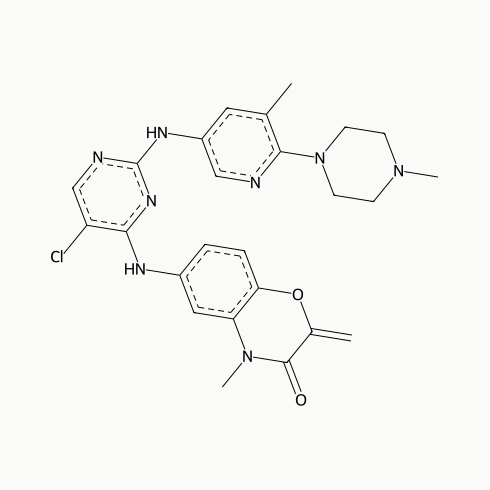 C=C1Oc2ccc(Nc3nc(Nc4cnc(N5CCN(C)CC5)c(C)c4)ncc3Cl)cc2N(C)C1=O